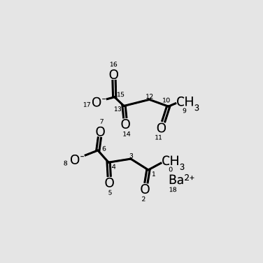 CC(=O)CC(=O)C(=O)[O-].CC(=O)CC(=O)C(=O)[O-].[Ba+2]